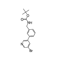 CC(C)(C)OC(=O)NCc1cccc(-c2cncc(Br)c2)c1